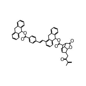 C=C(C)C(=O)CC1C2CC3C1OC(=O)C3C2C(=O)OC1c2ccccc2Cc2c(/C=C/c3ccc(C(=O)OC4c5ccccc5Cc5ccccc54)cc3)cccc21